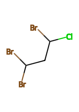 ClC(Br)CC(Br)Br